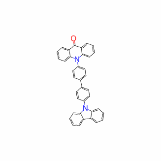 O=c1c2ccccc2n(-c2ccc(-c3ccc(-n4c5ccccc5c5ccccc54)cc3)cc2)c2ccccc12